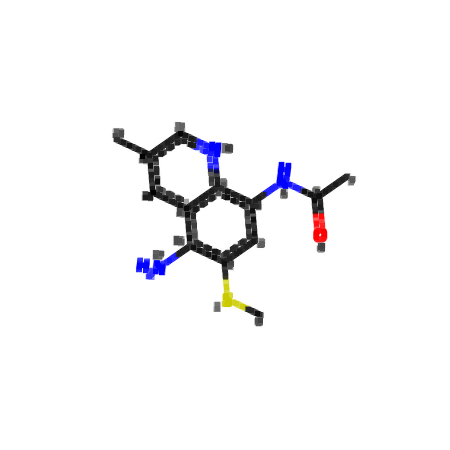 CSc1cc(NC(C)=O)c2ncc(C)cc2c1N